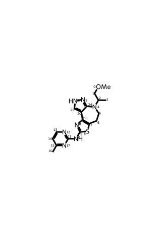 COCC(C)N1CCc2sc(Nc3nccc(C)n3)nc2-c2c[nH]nc21